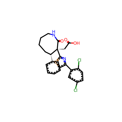 O=C(O)C[C@@]1(c2nc(-c3cc(Cl)ccc3Cl)cs2)C(=O)NCCCC[C@H]1c1ccccc1